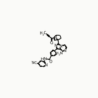 CC#CC(=O)N1C2CCC1(c1nc(-c3ccc(C(=O)Nc4cc(C#N)ccn4)cc3)c3c(N)nccn13)CC2